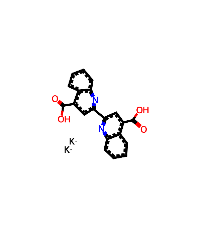 O=C(O)c1cc(-c2cc(C(=O)O)c3ccccc3n2)nc2ccccc12.[K].[K]